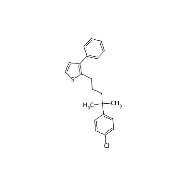 CC(C)(CCCc1sccc1-c1ccccc1)c1ccc(Cl)cc1